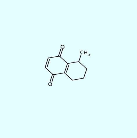 CC1CCCC2=C1C(=O)C=CC2=O